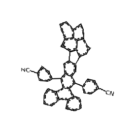 N#Cc1ccc(-c2c3cc4c(cc3c(-c3ccc(C#N)cc3)c3c5ccccc5c5ccccc5c23)-c2cc3cccc5ccc6ccc-4c2c6c53)cc1